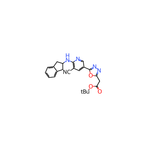 CC(C)(C)OC(=O)Cc1nnc(-c2cnc(NC3Cc4ccccc4C3)c(C#N)c2)o1